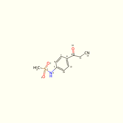 CS(=O)(=O)Nc1ccc(C(=O)CC#N)cc1